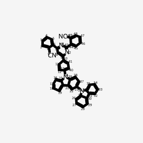 N#Cc1ccccc1-c1cc(-c2ccc(-n3c4ccccc4c4cc(-n5c6ccccc6c6ccccc65)ccc43)cc2)nc(-c2ccccc2C#N)n1